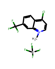 C[n+]1ccc(Cl)c2ccc(C(F)(F)F)cc21.F[B-](F)(F)F